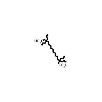 C=CCC(CC=C)(CCCCCCCCCCC(CC=C)(CC=C)CC(=O)O)CC(=O)O